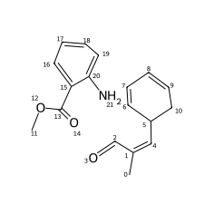 CC(C=O)=CC1C=CC=CC1.COC(=O)c1ccccc1N